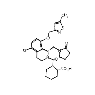 Cc1cc(COc2ccc(Cl)c3c2[C@@H](CN2CCCC2=O)N(C(=O)C2CCCC[C@H]2C(=O)O)CC3)ns1